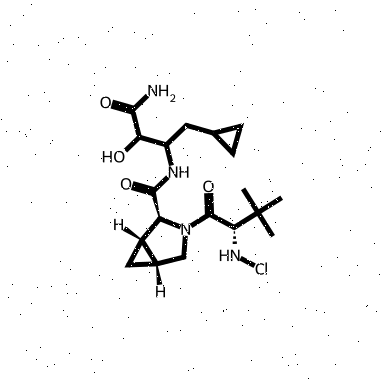 CC(C)(C)[C@H](NCl)C(=O)N1C[C@@H]2C[C@@H]2[C@H]1C(=O)NC(CC1CC1)C(O)C(N)=O